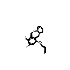 C=CCOc1cc(F)c(F)c2c1=Cc1ccccc1SC=2